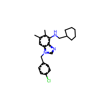 Cc1cc2c(ncn2Cc2ccc(Cl)cc2)c(NCC2CCCCC2)c1C